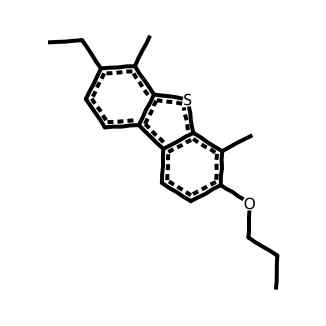 CCCOc1ccc2c(sc3c(C)c(CC)ccc32)c1C